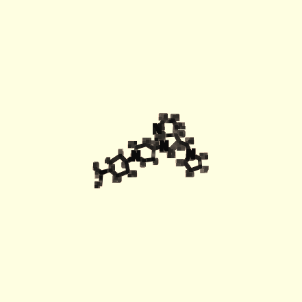 CC(C)[C@H]1CC[C@@H](N2CCC(n3cc(CN4CCCC4)c4cccnc43)CC2)CC1